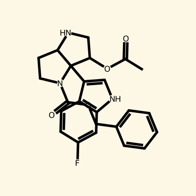 CC(=O)OC1CNC2CCN(C(=O)OCc3ccccc3)C21c1c[nH]c2cc(F)ccc12